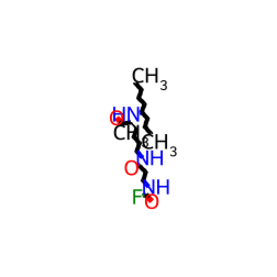 CCCCCC(CCCC)N[C@@H](CCCCNC(=O)CCNC(=O)F)C(C)=O